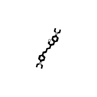 CCN(CC)c1ccc(C=CCCC(C=O)=Cc2ccc(N(CC)CC)cc2)cc1